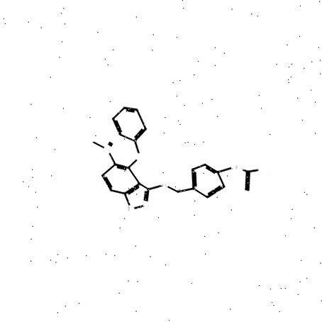 CC(=O)Nc1ccc(CNc2n[nH]c3ccc([N+](=O)[O-])c(Oc4ccccc4)c23)cc1